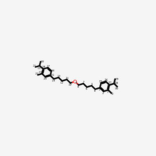 Cc1cc(CCCCCOCCCCCc2ccc(C(C)C)c(C)c2)ccc1C(C)C